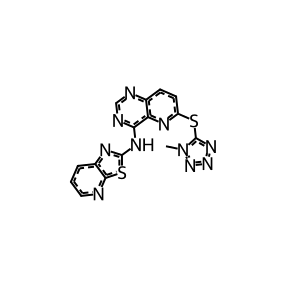 Cn1nnnc1Sc1ccc2ncnc(Nc3nc4cccnc4s3)c2n1